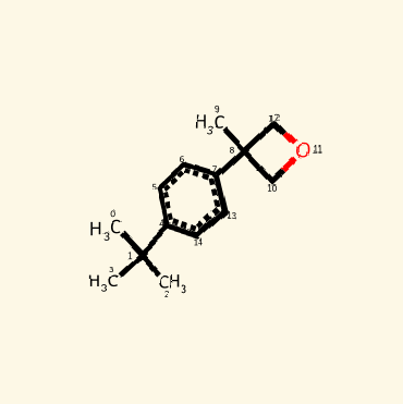 CC(C)(C)c1ccc(C2(C)COC2)cc1